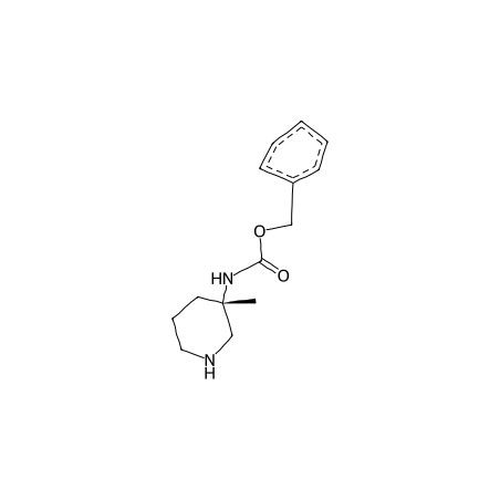 C[C@]1(NC(=O)OCc2ccccc2)CCCNC1